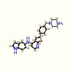 CN1CCN(Cc2ccc(-c3cc4c(Nc5ccc6[nH]ccc6c5)ccnc4s3)cc2)CC1